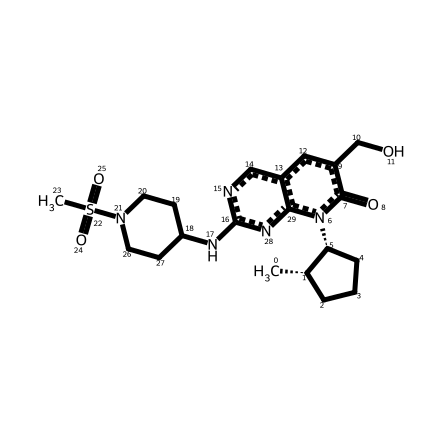 C[C@H]1CCC[C@H]1n1c(=O)c(CO)cc2cnc(NC3CCN(S(C)(=O)=O)CC3)nc21